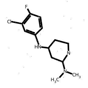 CN(C)C1CC(Nc2ccc(F)c(Cl)c2)CC[N]1